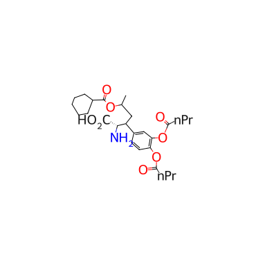 CCCC(=O)Oc1ccc(C(CC(C)OC(=O)C2CCCCC2)[C@H](N)C(=O)O)cc1OC(=O)CCC